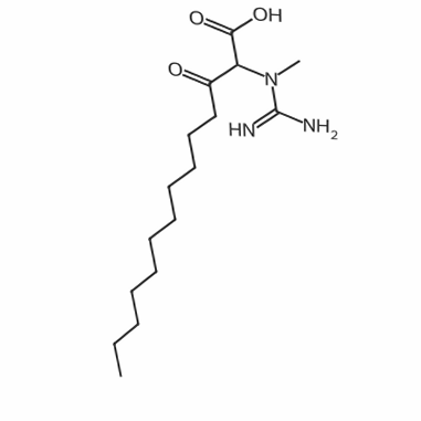 CCCCCCCCCCCC(=O)C(C(=O)O)N(C)C(=N)N